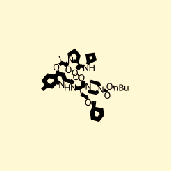 CCCCOC(=O)N1CCN(C(=O)[C@H](CCOCc2ccccc2)NC(=O)c2cc(O[C@H](C)C(=O)N3CCC[C@H]3C(=O)NC3CCC3)c3ccc(C)cc3n2)CC1